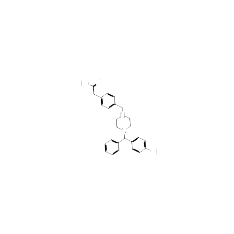 O=C(O)Cc1ccc(CN2CCN(C(c3ccccc3)c3ccc(Cl)cc3)CC2)cc1